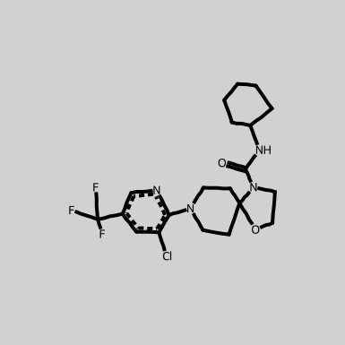 O=C(NC1CCCCC1)N1CCOC12CCN(c1ncc(C(F)(F)F)cc1Cl)CC2